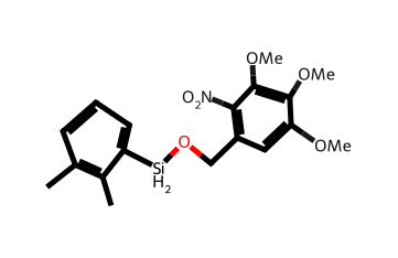 COc1cc(CO[SiH2]c2cccc(C)c2C)c([N+](=O)[O-])c(OC)c1OC